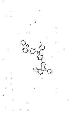 Cc1cccc(N(c2ccc(-c3ccc4c(c3)c3c5ccccc5ccc3n4-c3ccccc3)cc2)c2ccc(-c3cccc4c3oc3ccccc34)cc2)c1